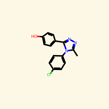 Cc1nnc(-c2ccc(O)cc2)n1-c1ccc(Cl)cc1